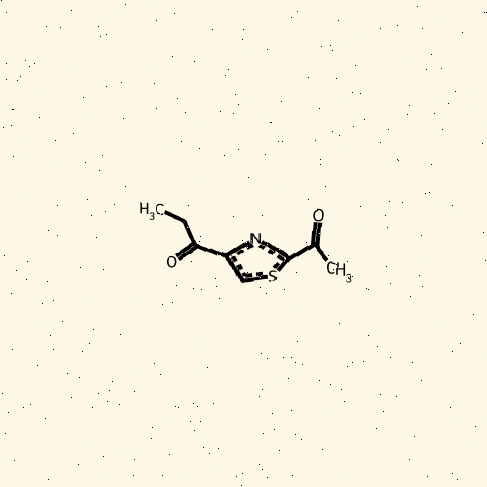 CCC(=O)c1csc(C(C)=O)n1